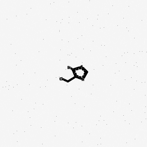 ClCc1ncsc1Br